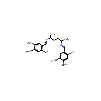 COc1cc(/C=N/C(C)CCC(C)/N=C/c2cc(OC)c(OC)cc2[N+](=O)[O-])c([N+](=O)[O-])cc1OC